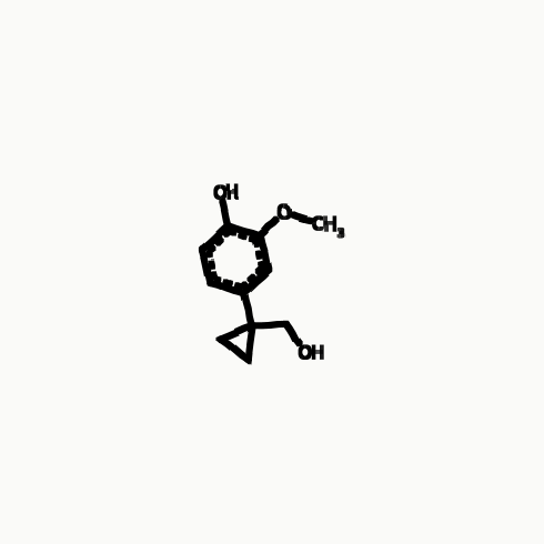 COc1cc(C2(CO)CC2)ccc1O